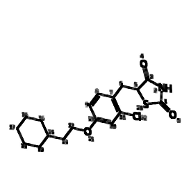 O=C1NC(=O)C(Cc2ccc(OCCC3CCCCC3)cc2Cl)S1